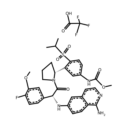 COC(=O)Nc1ccc(S(=O)(=O)C(C)C)c([C@H]2CCCN2C(=O)[C@H](Nc2ccc3c(N)nccc3c2)c2ccc(F)c(OC)c2)c1.O=C(O)C(F)(F)F